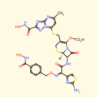 Cc1cc(SCC2=C(OC(=O)O)N3C(=O)[C@@H](NC(=O)/C(=N\OCc4ccc(C(=O)NO)cc4)c4csc(N)n4)[C@H]3SC2)n2nc(C(=O)NO)nc2n1